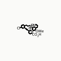 COc1ccc(S(=O)(=O)CCCc2ccc(Cl)cc2C#Cc2ccc(C(=O)O)nc2)c2ncccc12